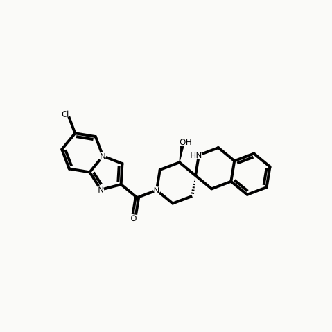 O=C(c1cn2cc(Cl)ccc2n1)N1CC[C@]2(Cc3ccccc3CN2)[C@H](O)C1